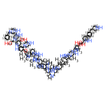 C1CN[C@H](CN2CCCC2)C1.CC1CCCCN1.CC1CCCNC1.CC1CCNCC1.CC1CNCC(C)C1.CCC1C(C)CNC1C.CCN1CCNCC1.CN(C)CC1CCCCN1.CN1CCNCC1.COc1ccccc1N1CCNCC1.OC1CCNC1.OC1CCNCC1.OCC1CCCCN1.OCCN1CCNCC1.c1ccc(CC2CCNCC2)cc1.c1ccc(CN2CCNCC2)cc1